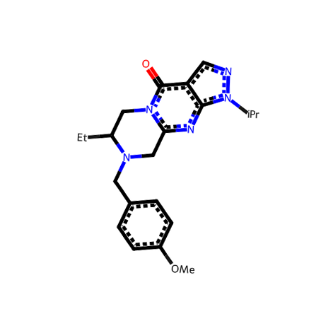 CCC1Cn2c(nc3c(cnn3C(C)C)c2=O)CN1Cc1ccc(OC)cc1